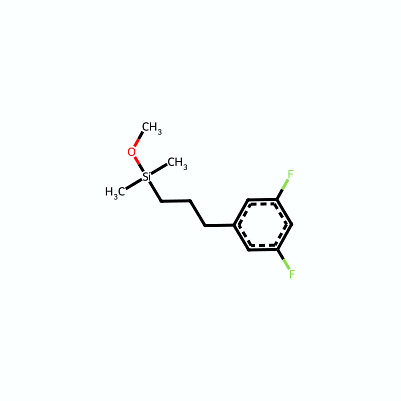 CO[Si](C)(C)CCCc1cc(F)cc(F)c1